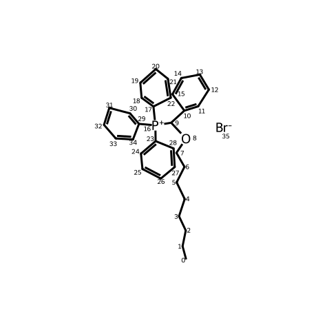 CCCCCCCCOC(c1ccccc1)[P+](c1ccccc1)(c1ccccc1)c1ccccc1.[Br-]